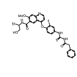 CCC(CO)NC(=O)c1cc2c(Oc3ccc(NC(=S)NC(=O)Cc4ccccc4)cc3F)ccnc2cc1OC